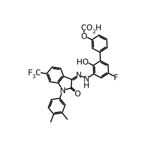 Cc1ccc(N2C(=O)C(=NNc3cc(F)cc(-c4cccc(OC(=O)O)c4)c3O)c3ccc(C(F)(F)F)cc32)cc1C